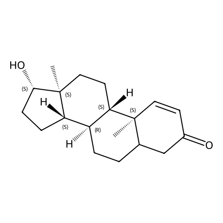 C[C@]12CC[C@H]3[C@@H](CCC4CC(=O)C=C[C@@]43C)[C@@H]1CC[C@@H]2O